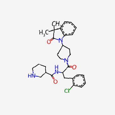 CC1(C)C(=O)N(C2CCN(C(=O)C(Cc3ccccc3Cl)NC(=O)C3CCCNC3)CC2)c2ccccc21